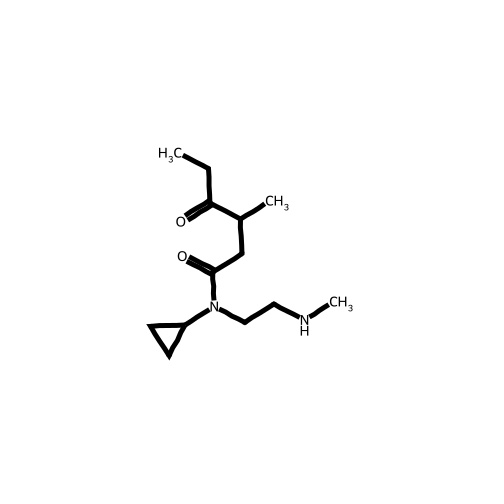 CCC(=O)C(C)CC(=O)N(CCNC)C1CC1